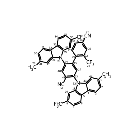 Cc1ccc2c3ccc(C(F)(F)F)cc3n(-c3cc(-c4ccc(C#N)cc4C(F)(F)F)c(-n4c5cc(C)ccc5c5ccc(C(F)(F)F)cc54)cc3C#N)c2c1